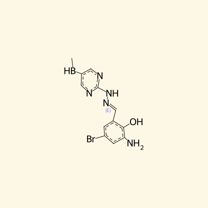 CBc1cnc(N/N=C/c2cc(Br)cc(N)c2O)nc1